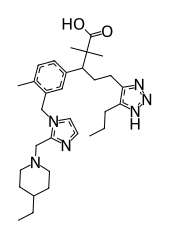 CCCc1[nH]nnc1CCC(c1ccc(C)c(Cn2ccnc2CN2CCC(CC)CC2)c1)C(C)(C)C(=O)O